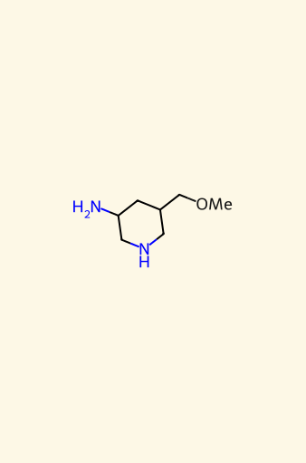 COCC1CNCC(N)C1